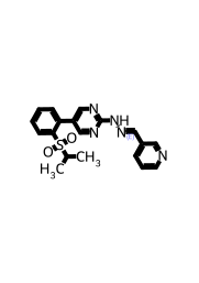 CC(C)S(=O)(=O)c1ccccc1-c1cnc(N/N=C/c2cccnc2)nc1